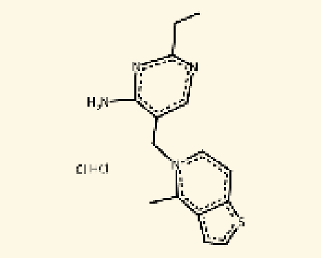 CCc1ncc(C[n+]2ccc3sccc3c2C)c(N)n1.Cl.[Cl-]